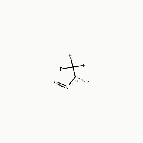 C[C@H](N=O)C(F)(F)F